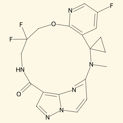 CN1c2ccn3ncc(c3n2)C(=O)NCC(F)(F)COc2ncc(F)cc2C12CC2